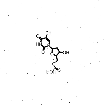 Cc1cn(C2CC(O)C(CO[PH](O)=S)O2)c(=O)[nH]c1=O